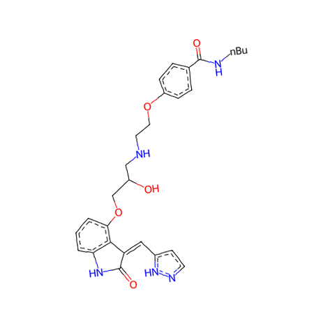 CCCCNC(=O)c1ccc(OCCNCC(O)COc2cccc3c2C(=Cc2ccn[nH]2)C(=O)N3)cc1